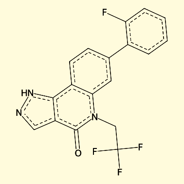 O=c1c2cn[nH]c2c2ccc(-c3ccccc3F)cc2n1CC(F)(F)F